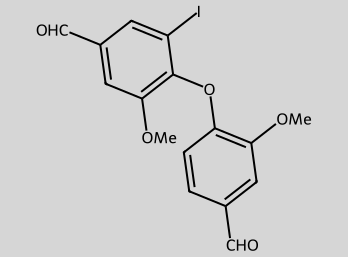 COc1cc(C=O)ccc1Oc1c(I)cc(C=O)cc1OC